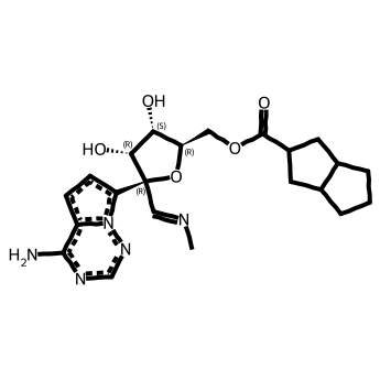 CN=C[C@@]1(c2ccc3c(N)ncnn23)O[C@H](COC(=O)C2CC3CCCC3C2)[C@@H](O)[C@H]1O